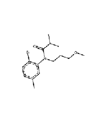 COCCCN(C(=O)C(C)C)c1cc(C)ccc1Br